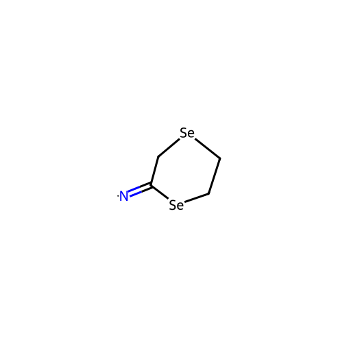 [N]=C1C[Se]CC[Se]1